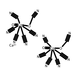 N#C[O][Co-](=[O])([C]#N)([C]#N)([C]#N)([C]#N)[C]#N.N#C[O][Co-](=[O])([C]#N)([C]#N)([C]#N)([C]#N)[C]#N.[Ca+2]